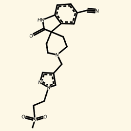 CS(=O)(=O)CCn1cc(CN2CCC3(CC2)C(=O)Nc2ccc(C#N)cc23)cn1